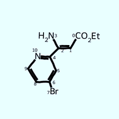 CCOC(=O)C=C(N)c1cc(Br)ccn1